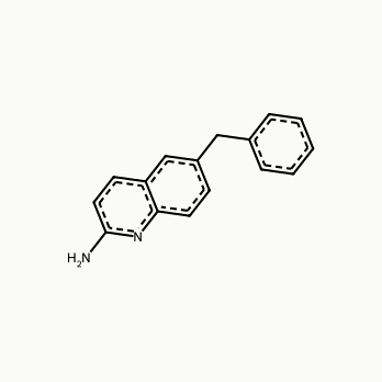 Nc1ccc2cc(Cc3ccccc3)ccc2n1